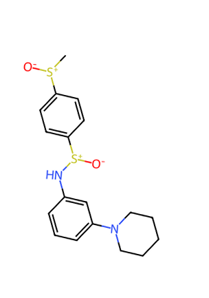 C[S+]([O-])c1ccc([S+]([O-])Nc2cccc(N3CCCCC3)c2)cc1